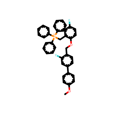 COc1ccc(-c2ccc(COc3ccc(F)cc3C[PH](c3ccccc3)(c3ccccc3)c3ccccc3)c(F)c2)cc1